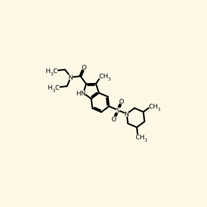 CCN(CC)C(=O)c1[nH]c2ccc(S(=O)(=O)N3CC(C)CC(C)C3)cc2c1C